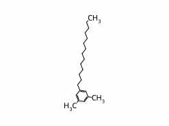 CCCCCCCCCCCCCCc1cc(C)cc(C)c1